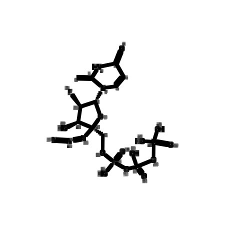 C=C1NC(=O)C=CN1[C@@H]1O[C@@](COP(=O)(O)OP(=O)(O)OP(=O)(O)O)(N=[N+]=[N-])[C@@H](O)[C@H]1F